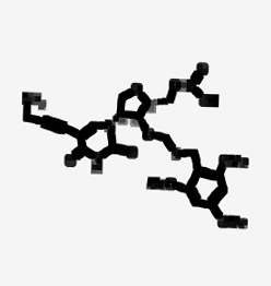 COc1cc(OC)c(CSCO[C@H]2[C@H](n3cc(C#CCN)c(=O)[nH]c3=O)CO[C@@H]2CO[PH](=O)O)c(OC)c1